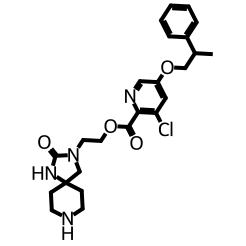 CC(COc1cnc(C(=O)OCCN2CC3(CCNCC3)NC2=O)c(Cl)c1)c1ccccc1